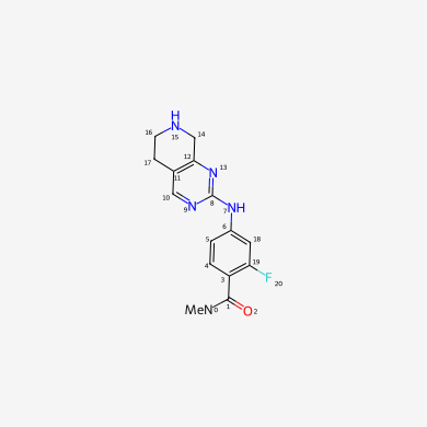 CNC(=O)c1ccc(Nc2ncc3c(n2)CNCC3)cc1F